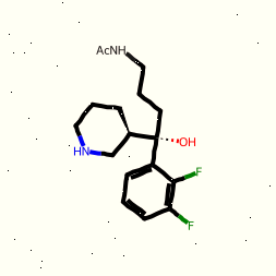 CC(=O)NCCC[C@@](O)(c1cccc(F)c1F)[C@@H]1CCCNC1